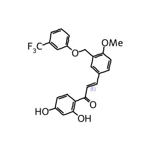 COc1ccc(/C=C/C(=O)c2ccc(O)cc2O)cc1COc1cccc(C(F)(F)F)c1